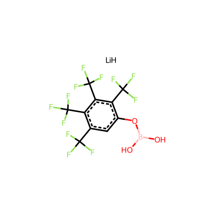 OB(O)Oc1cc(C(F)(F)F)c(C(F)(F)F)c(C(F)(F)F)c1C(F)(F)F.[LiH]